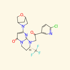 O=C(CN1c2nc(N3CC4CC3CO4)cc(=O)n2CC[C@H]1C(F)(F)F)c1ccc(Cl)nc1